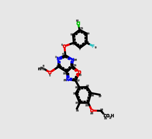 CCCOc1nc(Oc2cc(F)cc(Cl)c2)nc2oc(-c3cc(C)c(OCC(=O)O)c(C)c3)nc12